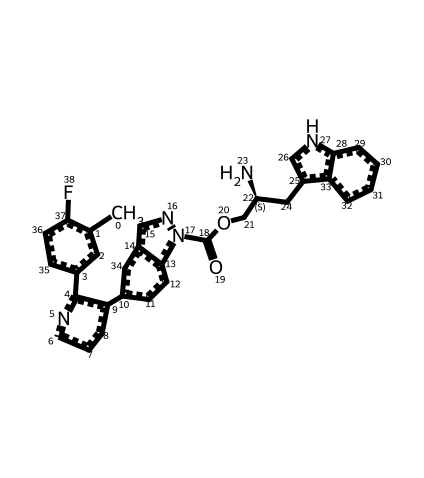 Cc1cc(-c2ncccc2-c2ccc3c(cnn3C(=O)OC[C@@H](N)Cc3c[nH]c4ccccc34)c2)ccc1F